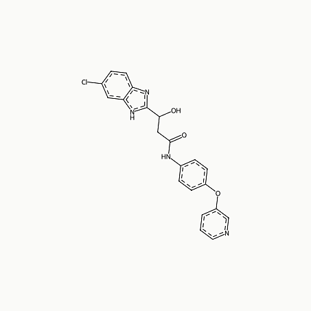 O=C(CC(O)c1nc2ccc(Cl)cc2[nH]1)Nc1ccc(Oc2cccnc2)cc1